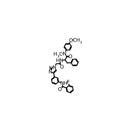 COc1ccc(N(C)C(=O)C(Cc2ccccc2)NC(=O)Cn2cc(-c3cccc(NC(=O)c4ccccc4F)c3)nn2)cc1